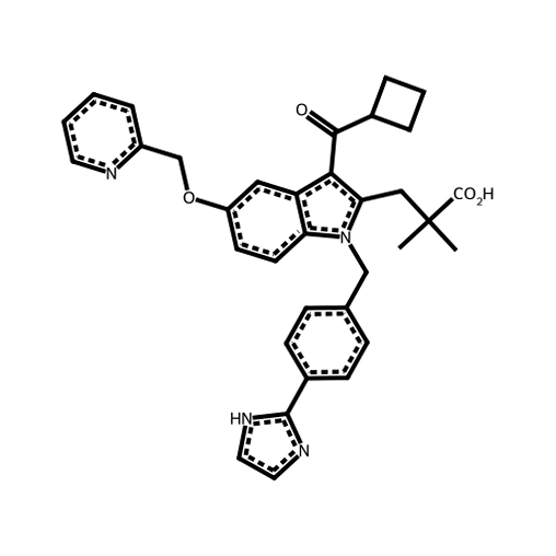 CC(C)(Cc1c(C(=O)C2CCC2)c2cc(OCc3ccccn3)ccc2n1Cc1ccc(-c2ncc[nH]2)cc1)C(=O)O